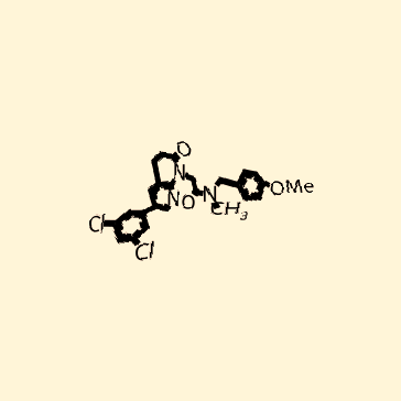 COc1ccc(CN(C)C(=O)CN2C(=O)CCc3cc(-c4cc(Cl)cc(Cl)c4)cnc32)cc1